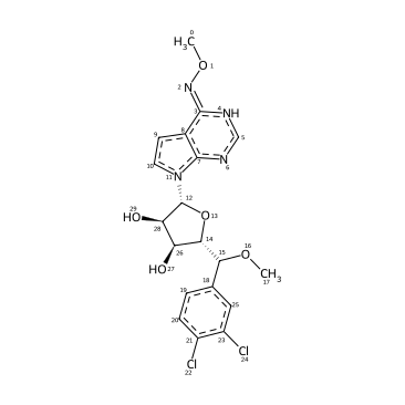 CON=c1[nH]cnc2c1ccn2[C@@H]1O[C@H](C(OC)c2ccc(Cl)c(Cl)c2)[C@@H](O)[C@H]1O